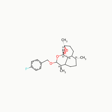 C[C@H]1C(OCc2ccc(F)cc2)O[C@@H]2O[C@]3(C)CCC4[C@H](C)CCC1[C@]42OO3